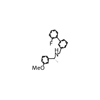 COc1cccc([C@@H](C)NCc2cccc(-c3ccccc3F)c2)c1